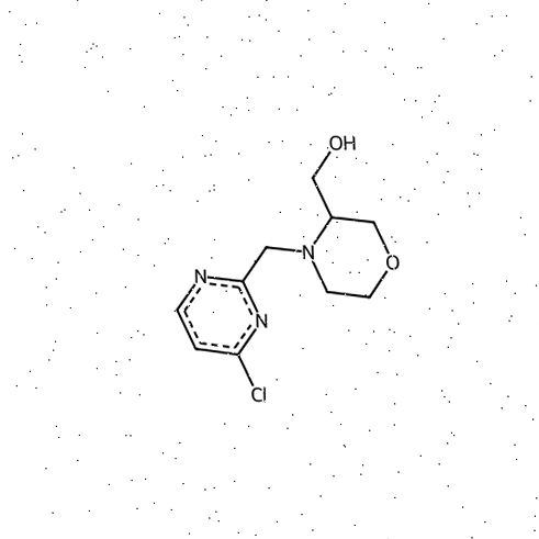 OCC1COCCN1Cc1nccc(Cl)n1